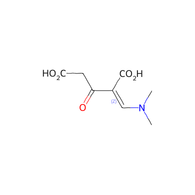 CN(C)/C=C(\C(=O)O)C(=O)CC(=O)O